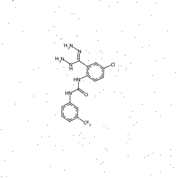 N/N=C(\NN)c1cc(Cl)ccc1NC(=O)Nc1cccc(C(F)(F)F)c1